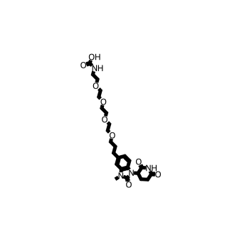 Cn1c(=O)n(C2CCC(=O)NC2=O)c2ccc(CCCOCCOCCOCCOCCNC(=O)O)cc21